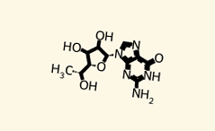 C[C@@H](O)[C@H]1O[C@@H](n2cnc3c(=O)[nH]c(N)nc32)C(O)C1O